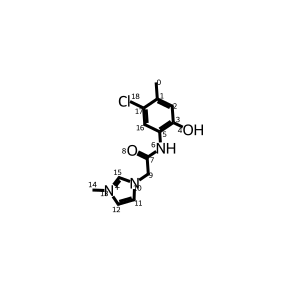 Cc1cc(O)c(NC(=O)Cn2cc[n+](C)c2)cc1Cl